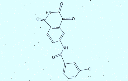 O=C1NC(=O)c2ccc(NC(=O)c3cccc(Cl)c3)cc2C1=O